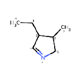 CCC1C=NCC1C